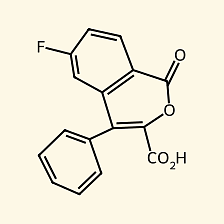 O=C(O)c1oc(=O)c2ccc(F)cc2c1-c1ccccc1